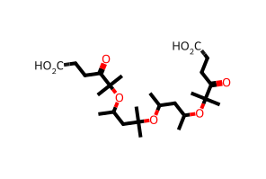 CC(CC(C)OC(C)(C)C(=O)CCC(=O)O)OC(C)(C)CC(C)OC(C)(C)C(=O)CCC(=O)O